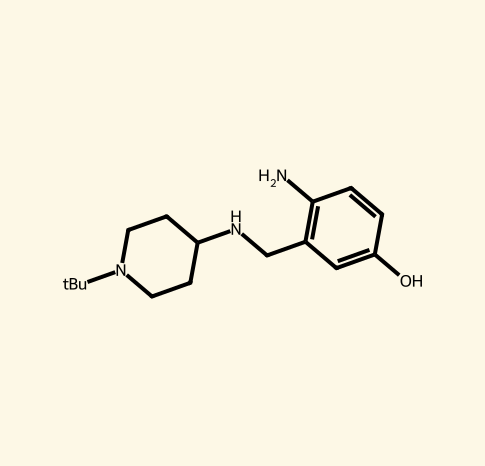 CC(C)(C)N1CCC(NCc2cc(O)ccc2N)CC1